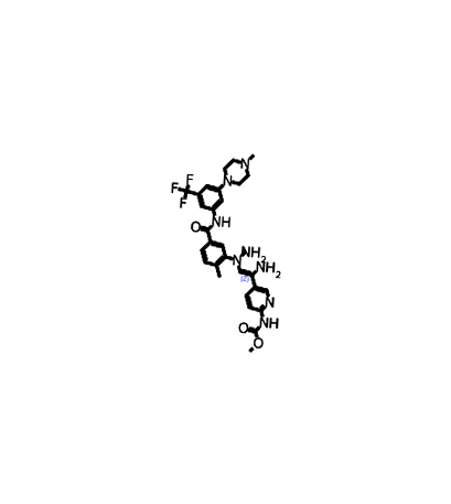 COC(=O)Nc1ccc(/C(N)=C/N(N)c2cc(C(=O)Nc3cc(N4CCN(C)CC4)cc(C(F)(F)F)c3)ccc2C)cn1